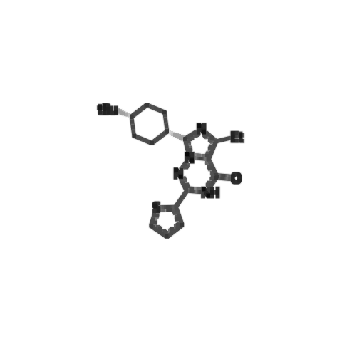 CCc1nc([C@H]2CC[C@@H](C(C)(C)C)CC2)n2nc(-c3cccs3)[nH]c(=O)c12